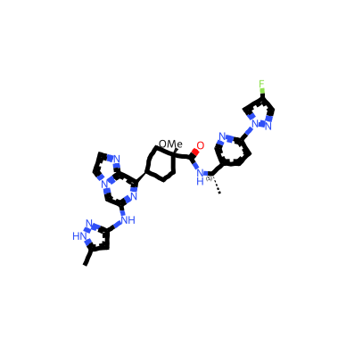 CO[C@]1(C(=O)N[C@@H](C)c2ccc(-n3cc(F)cn3)nc2)CC[C@H](c2nc(Nc3cc(C)[nH]n3)cn3ccnc23)CC1